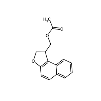 CC(=O)OCC1COc2ccc3ccccc3c21